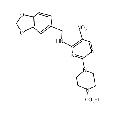 CCOC(=O)N1CCN(c2ncc([N+](=O)[O-])c(NCc3ccc4c(c3)OCO4)n2)CC1